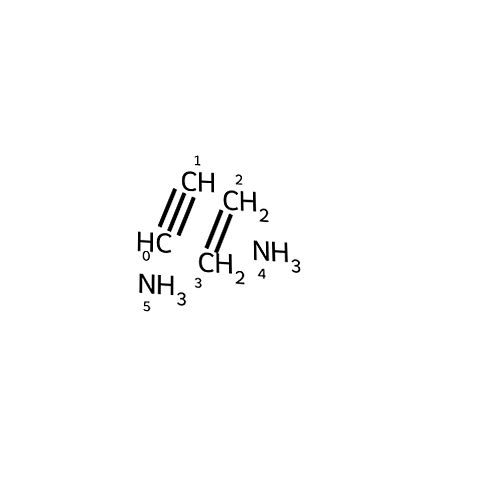 C#C.C=C.N.N